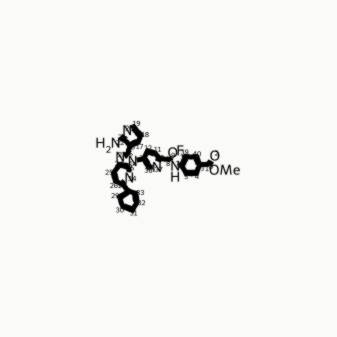 COC(=O)c1ccc(NC(=O)c2ccc(-n3c(-c4cccnc4N)nc4ccc(-c5ccccc5)nc43)cn2)c(F)c1